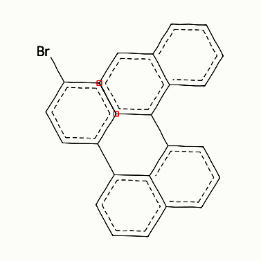 Brc1ccc(-c2cccc3cccc(-c4cccc5ccccc45)c23)cc1